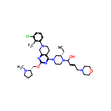 CN1CCC[C@H]1COc1nc2c(c(N3CCN(C(O)/C=C/CN4CCOCC4)[C@@H](CC#N)C3)n1)CCN(c1cccc(Cl)c1C(F)(F)F)C2